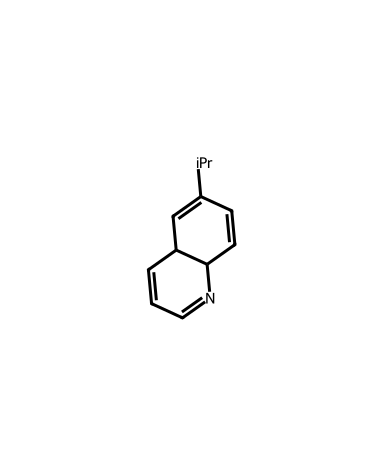 CC(C)C1=CC2C=CC=NC2C=C1